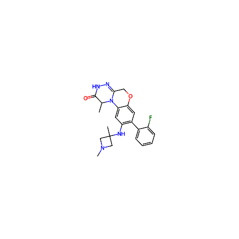 CC1C(=O)NN=C2COc3cc(-c4ccccc4F)c(NC4(C)CN(C)C4)cc3N21